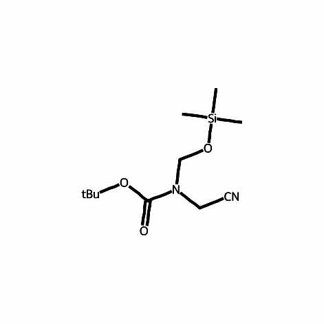 CC(C)(C)OC(=O)N(CC#N)CO[Si](C)(C)C